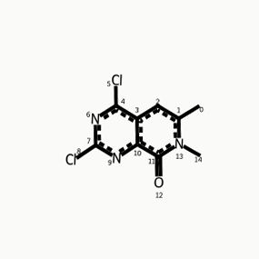 Cc1cc2c(Cl)nc(Cl)nc2c(=O)n1C